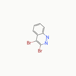 Brc1nnc2ccccc2c1Br